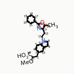 COC(Cc1ccc2c(ccn2CCc2nc(-c3ccccc3)oc2C)c1)C(=O)O